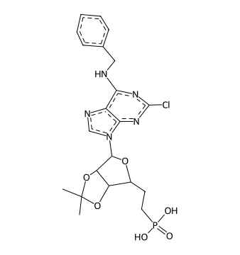 CC1(C)OC2C(CCP(=O)(O)O)OC(n3cnc4c(NCc5ccccc5)nc(Cl)nc43)C2O1